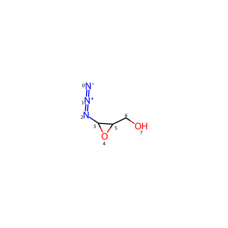 [N-]=[N+]=NC1OC1CO